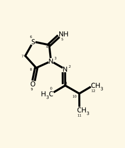 C/C(=N\N1C(=N)SCC1=O)C(C)C